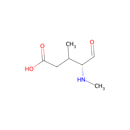 CN[C@@H](C=O)C(C)CC(=O)O